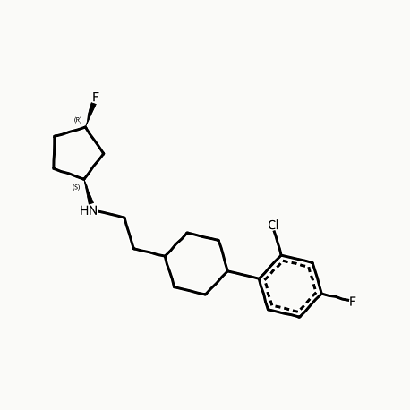 Fc1ccc(C2CCC(CCN[C@H]3CC[C@@H](F)C3)CC2)c(Cl)c1